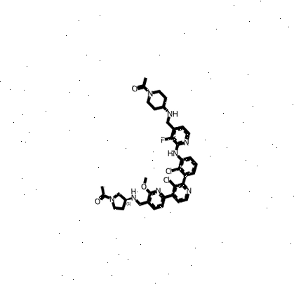 COc1nc(-c2ccnc(-c3cccc(Nc4nccc(CNC5CCN(C(C)=O)CC5)c4F)c3Cl)c2Cl)ccc1CN[C@H]1CCN(C(C)=O)C1